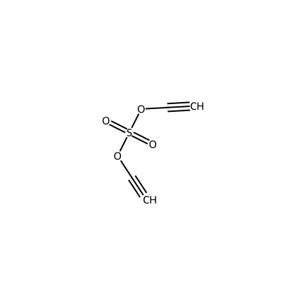 C#COS(=O)(=O)OC#C